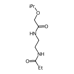 CCC(=O)NCCNC(=O)COC(C)C